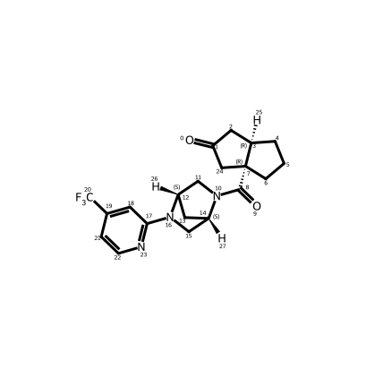 O=C1C[C@H]2CCC[C@@]2(C(=O)N2C[C@@H]3C[C@H]2CN3c2cc(C(F)(F)F)ccn2)C1